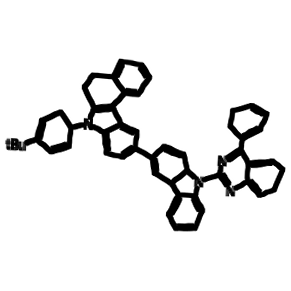 CC(C)(C)C1=CCC(n2c3c(c4cc(C5=CC6c7ccccc7N(c7nc(C8=CC=CCC8)c8c(n7)=CCCC=8)C6C=C5)ccc42)-c2ccccc2CC3)C=C1